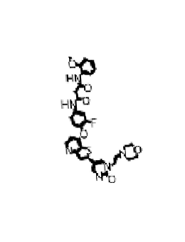 COc1ccccc1NC(=O)CC(=O)Nc1ccc(Oc2ccnc3cc(-c4cnc(=O)n(CCN5CCOCC5)c4)sc23)c(F)c1